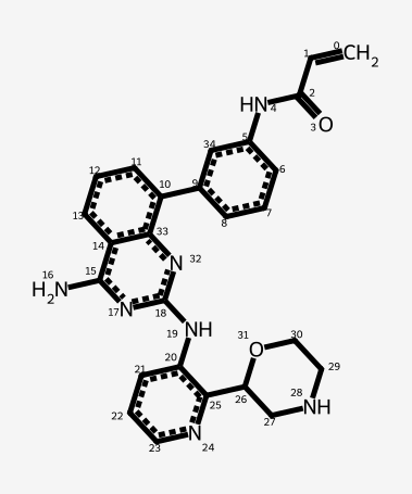 C=CC(=O)Nc1cccc(-c2cccc3c(N)nc(Nc4cccnc4C4CNCCO4)nc23)c1